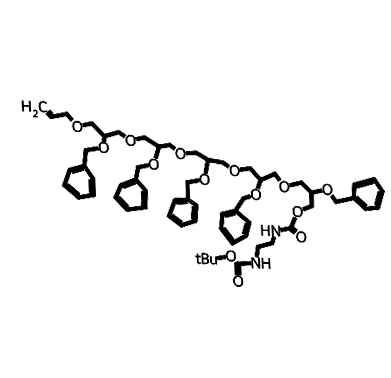 C=CCOCC(COCC(COCC(COCC(COCC(COC(=O)NCCNC(=O)OC(C)(C)C)OCc1ccccc1)OCc1ccccc1)OCc1ccccc1)OCc1ccccc1)OCc1ccccc1